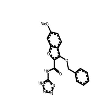 COc1ccc2c(OCc3ccccc3)c(C(=O)Nc3nnn[nH]3)oc2c1